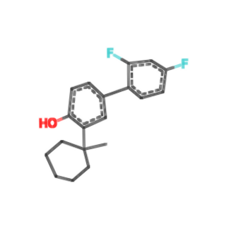 CC1(c2cc(-c3ccc(F)cc3F)ccc2O)CCCCC1